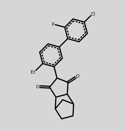 CCc1ccc(-c2ccc(Cl)cc2F)cc1C1C(=O)C2C3CCC(C3)C2C1=O